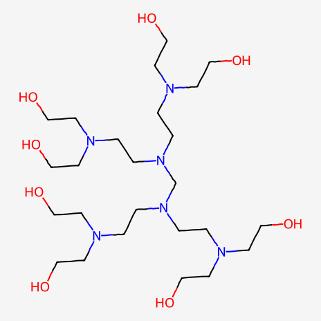 OCCN(CCO)CCN(CCN(CCO)CCO)CN(CCN(CCO)CCO)CCN(CCO)CCO